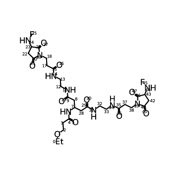 CCOCCC(=O)NC(CC(=O)NCCNC(=O)CCN1C(=O)CC(NF)C1=O)CC(=O)NCCNC(=O)CCN1C(=O)CC(NF)C1=O